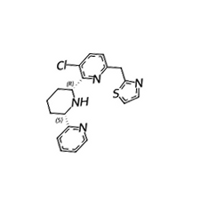 Clc1ccc(Cc2nccs2)nc1[C@H]1CCC[C@@H](c2ccccn2)N1